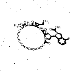 C=C[C@@H]1CC12NC(=O)[C@@H]1C[C@@H]([C@@H]3c4cccc(F)c4CN3C(=O)O)CN1C(=O)CCCCCCCCCCCN(C)S(=O)(=O)NC2=O